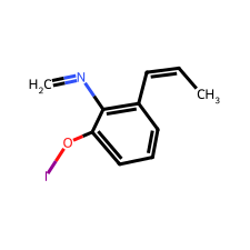 C=Nc1c(/C=C\C)cccc1OI